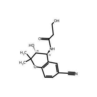 CC1(C)Oc2ccc(C#N)cc2[C@H](NC(=O)CCO)[C@H]1O